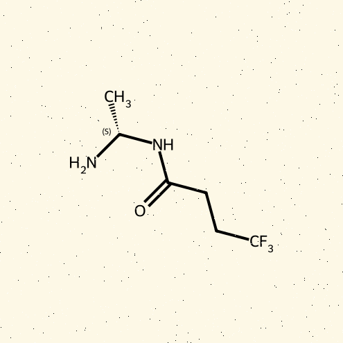 C[C@@H](N)NC(=O)CCC(F)(F)F